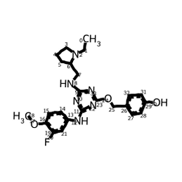 CCN1CCCC1CNc1nc(Nc2ccc(OC)c(F)c2)nc(OCc2ccc(O)cc2)n1